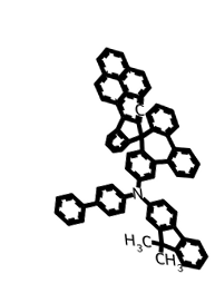 CC1(C)c2ccccc2-c2ccc(N(c3ccc(-c4ccccc4)cc3)c3ccc4c(c3)-c3ccccc3-c3ccccc3C43c4ccccc4-c4c3cc3ccc5cccc6ccc4c3c56)cc21